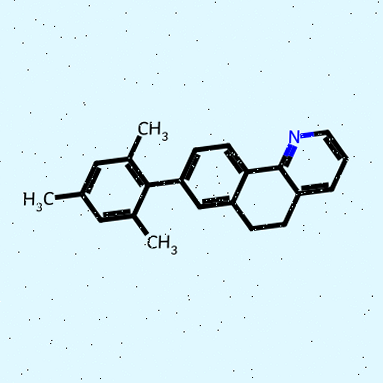 Cc1cc(C)c(-c2ccc3c(c2)CCc2cccnc2-3)c(C)c1